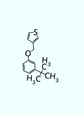 CC(C)(C)c1cccc(OCc2ccsc2)c1